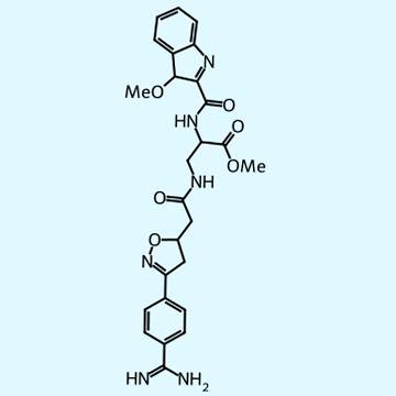 COC(=O)C(CNC(=O)CC1CC(c2ccc(C(=N)N)cc2)=NO1)NC(=O)C1=Nc2ccccc2C1OC